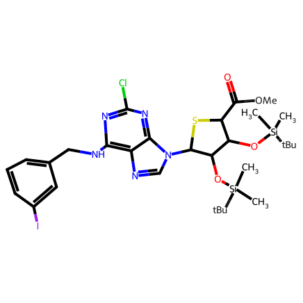 COC(=O)C1SC(n2cnc3c(NCc4cccc(I)c4)nc(Cl)nc32)C(O[Si](C)(C)C(C)(C)C)C1O[Si](C)(C)C(C)(C)C